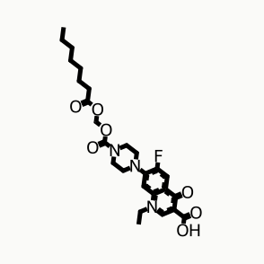 CCCCCCCC(=O)OCOC(=O)N1CCN(c2cc3c(cc2F)c(=O)c(C(=O)O)cn3CC)CC1